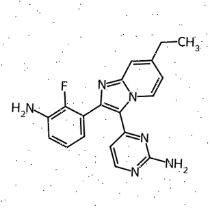 CCc1ccn2c(-c3ccnc(N)n3)c(-c3cccc(N)c3F)nc2c1